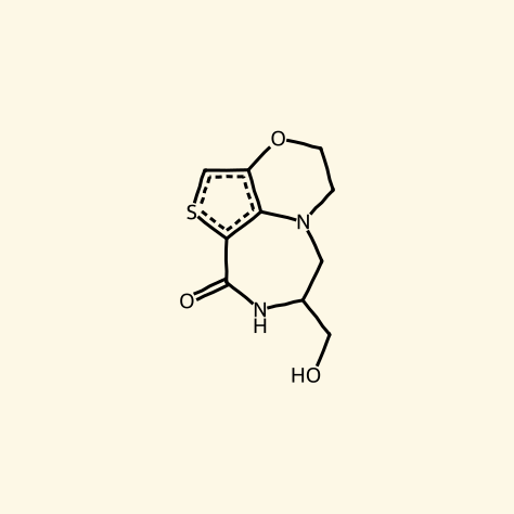 O=C1NC(CO)CN2CCOc3csc1c32